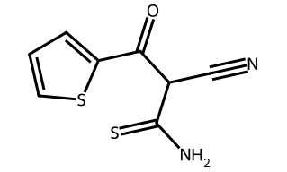 N#CC(C(=O)c1cccs1)C(N)=S